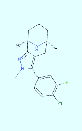 Cn1nc2c(c1-c1ccc(Cl)c(F)c1)C[C@@H]1CCC[C@H]2N1